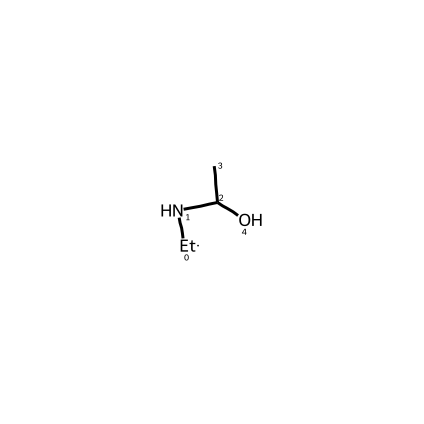 C[CH]NC(C)O